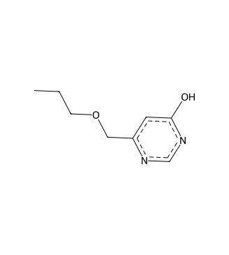 CCCOCc1cc(O)ncn1